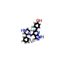 Cc1n[nH]c2nc(-c3ccc(O)cc3F)cc(CN3CCNC[C@@H]3c3ccccc3)c12